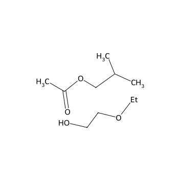 CC(=O)OCC(C)C.CCOCCO